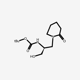 CC(C)(C)OC(=O)N[C@H](CO)CN1CCCCC1=O